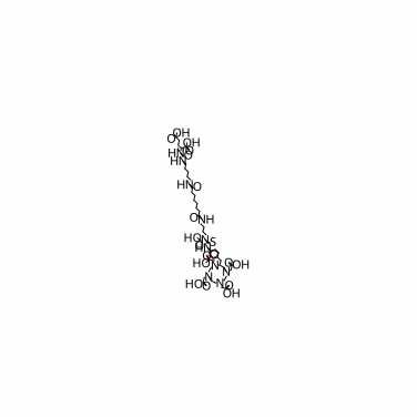 O=C(O)CC[C@H](NC(=O)NCCCCCNC(=O)CCCCCCC(=O)NCCCCN(C(=O)O)C(=S)Nc1ccc(CC2CN(CC(=O)O)CCN(CC(=O)O)CCN(CC(=O)O)CCN2CC(=O)O)cc1)C(=O)O